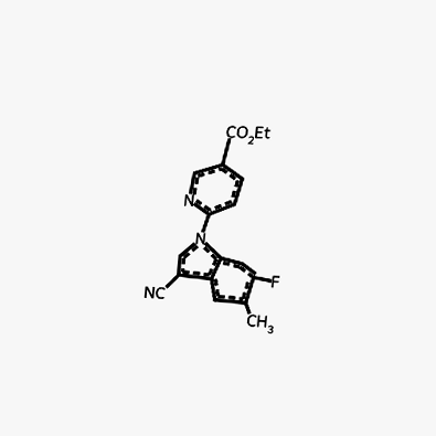 CCOC(=O)c1ccc(-n2cc(C#N)c3cc(C)c(F)cc32)nc1